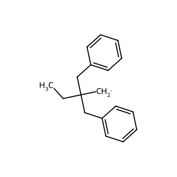 [CH2]C(CC)(Cc1ccccc1)Cc1ccccc1